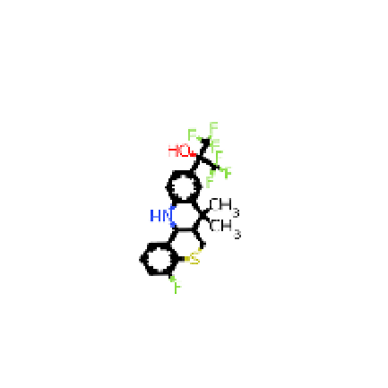 CC1(C)c2cc(C(O)(C(F)(F)F)C(F)(F)F)ccc2NC2c3cccc(F)c3SCC21